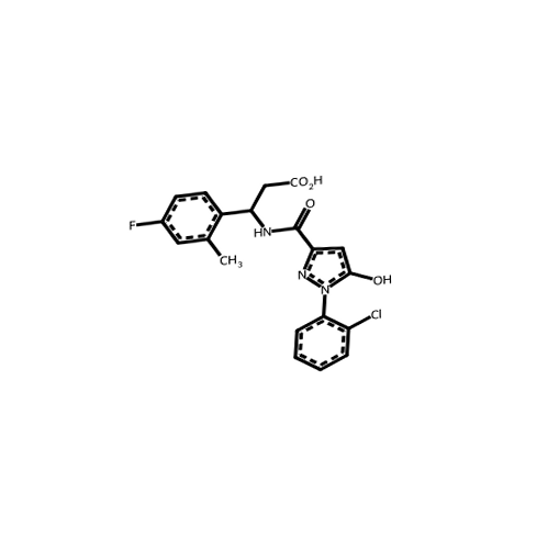 Cc1cc(F)ccc1C(CC(=O)O)NC(=O)c1cc(O)n(-c2ccccc2Cl)n1